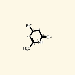 CCC1CC(=O)NC(C)=N1